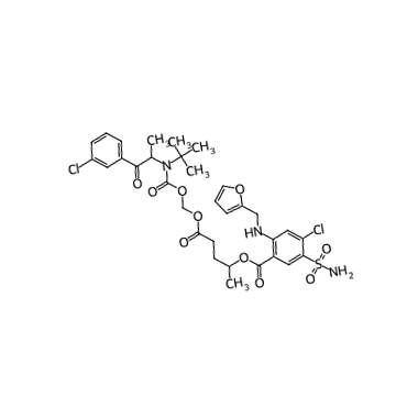 CC(CCC(=O)OCOC(=O)N(C(C)C(=O)c1cccc(Cl)c1)C(C)(C)C)OC(=O)c1cc(S(N)(=O)=O)c(Cl)cc1NCc1ccco1